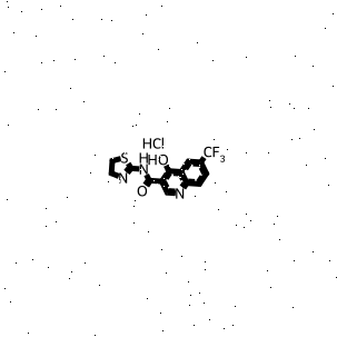 Cl.O=C(NC1=NCCS1)c1cnc2ccc(C(F)(F)F)cc2c1O